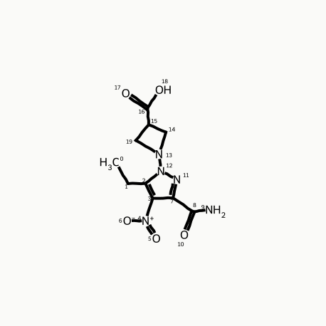 CCc1c([N+](=O)[O-])c(C(N)=O)nn1N1CC(C(=O)O)C1